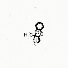 CCC(C)(CC)C(=CCl)Oc1ccccc1